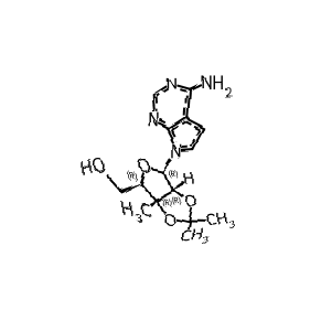 CC1(C)O[C@H]2[C@H](n3ccc4c(N)ncnc43)O[C@H](CO)[C@@]2(C)O1